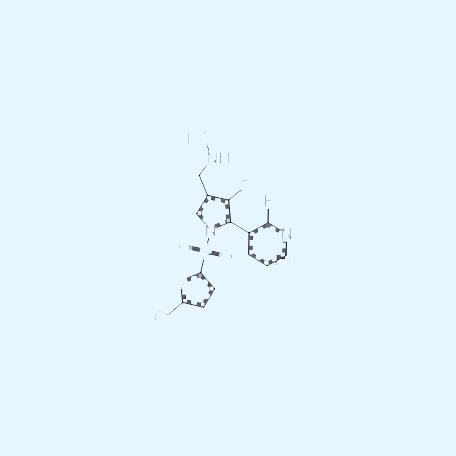 CNCc1cn(S(=O)(=O)c2ccc(Cl)s2)c(-c2cccnc2F)c1F.Cl